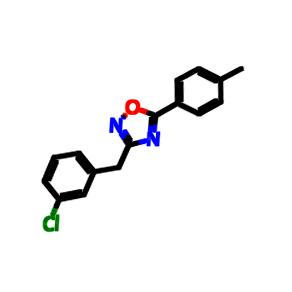 Cc1ccc(-c2nc(Cc3cccc(Cl)c3)no2)cc1